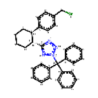 BrCc1ccc([C@@H]2CCCC[C@H]2c2nnn(C(c3ccccc3)(c3ccccc3)c3ccccc3)n2)cc1